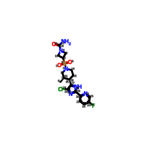 C[C@H]1CN(S(=O)(=O)C2CN(C(N)=O)C2)CC[C@H]1c1[nH]c(-c2ccc(F)cn2)nc1Cl